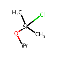 CC(C)O[Si](C)(C)Cl